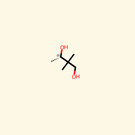 C[C@H](O)C(C)(C)CO